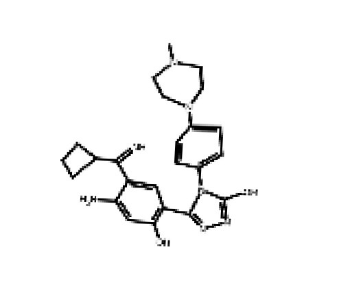 CN1CCN(c2ccc(-n3c(O)nnc3-c3cc(C(=N)C4CCC4)c(N)cc3O)cc2)CC1